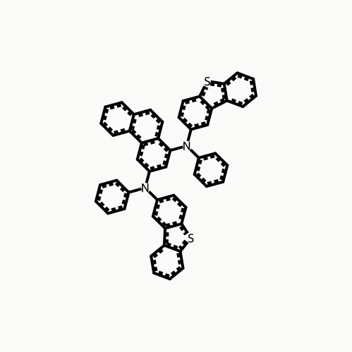 c1ccc(N(c2ccc3sc4ccccc4c3c2)c2cc(N(c3ccccc3)c3ccc4sc5ccccc5c4c3)c3ccc4ccccc4c3c2)cc1